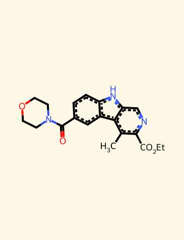 CCOC(=O)c1ncc2[nH]c3ccc(C(=O)N4CCOCC4)cc3c2c1C